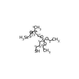 CCOS[SiH3].CCO[Si](CCCS)(OCC)OCC